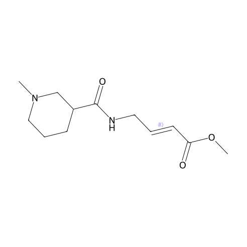 COC(=O)/C=C/CNC(=O)C1CCCN(C)C1